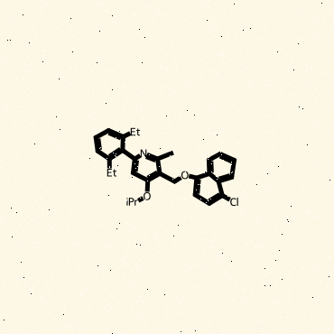 CCc1cccc(CC)c1-c1cc(OC(C)C)c(COc2ccc(Cl)c3ccccc23)c(C)n1